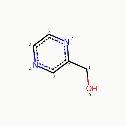 OCc1cn[c]cn1